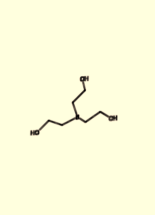 OCCB(CCO)CCO